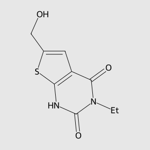 CCn1c(=O)[nH]c2sc(CO)cc2c1=O